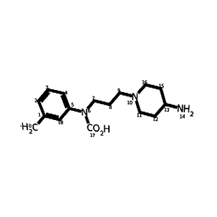 [CH2]c1cccc(N(CCCN2CCC(N)CC2)C(=O)O)c1